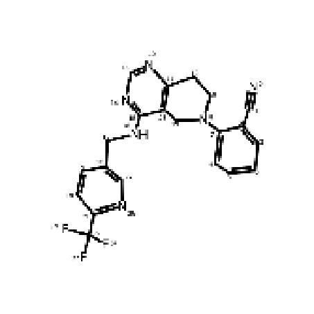 N#Cc1ccccc1N1CCc2ncnc(NCc3ccc(C(F)(F)F)nc3)c2C1